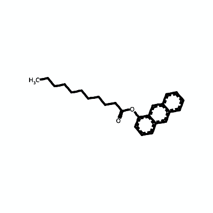 CCCCCCCCCCC(=O)Oc1cccc2cc3ccccc3cc12